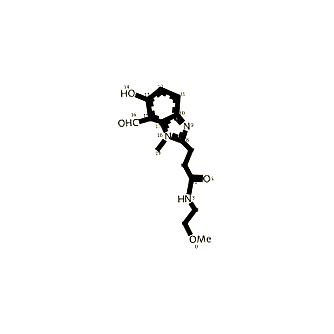 COCCNC(=O)CCc1nc2ccc(O)c(C=O)c2n1C